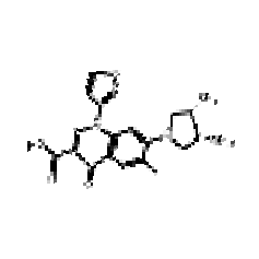 C[C@H]1CN(c2cc3c(cc2F)c(=O)c(C(=O)O)cn3-c2ccon2)C[C@H]1N